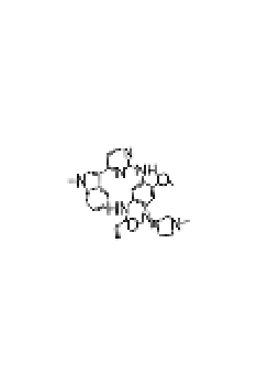 C=CC(=O)Nc1cc(Nc2nccc(-c3cn(C)c4ccccc34)n2)c(OC)cc1N(C)[C@@H]1CCN(C)C1